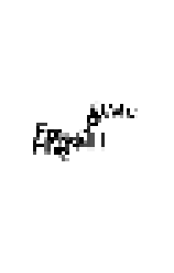 COc1ccc(CC[C@H]2CN(C3=Nc4ccc(F)cc4Nc4sc(C)cc43)CCN2)cc1